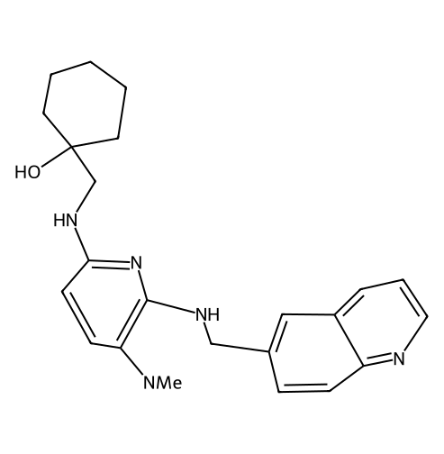 CNc1ccc(NCC2(O)CCCCC2)nc1NCc1ccc2ncccc2c1